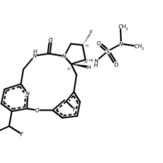 CN(C)S(=O)(=O)N[C@H]1[C@@H](F)CN2C(=O)NCc3ccc(C(F)F)c(n3)Oc3cccc(c3F)C[C@@H]12